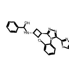 OC(N[C@H]1C[C@H](c2nnc(-c3nccs3)n2-c2ccccc2Cl)C1)c1ccccc1